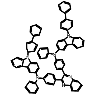 C1=CC(n2c3ccccc3c3cc(N(c4ccccc4)c4ccc(-c5nc6ccccc6nc5-c5ccc(N(c6ccccc6)c6ccc7c(c6)c6ccccc6n7-c6ccc(-c7ccccc7)cc6)cc5)cc4)ccc32)CC=C1c1ccccc1